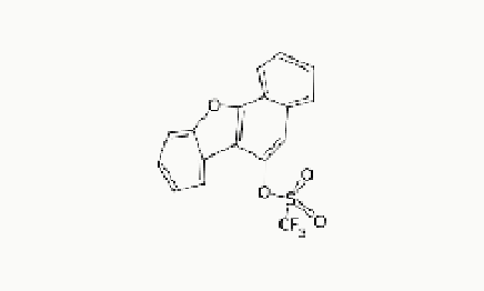 O=S(=O)(Oc1cc2ccccc2c2oc3ccccc3c12)C(F)(F)F